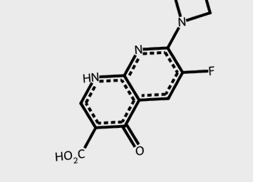 O=C(O)c1c[nH]c2nc(N3CCC3)c(F)cc2c1=O